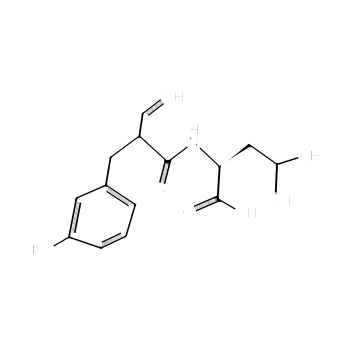 C=CC(Cc1cccc(C)c1)C(=O)N[C@@H](CC(C)C)C(C)=O